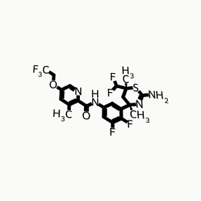 Cc1cc(OCC(F)(F)F)cnc1C(=O)Nc1cc(F)c(F)c([C@]2(C)C[C@](C)(C(F)F)SC(N)=N2)c1